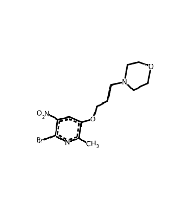 Cc1nc(Br)c([N+](=O)[O-])cc1OCCCN1CCOCC1